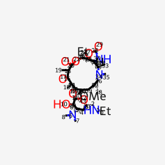 CCNC[C@@H]1C[C@H](N(C)C)[C@@H](O)[C@H](O[C@@H]2[C@@H](C)C(=O)C(C)C(=O)O[C@H](CC)[C@@]3(C)OC(=O)N[C@@H]3[C@@H](C)N(C)C[C@H](C)C[C@@]2(C)OC)O1